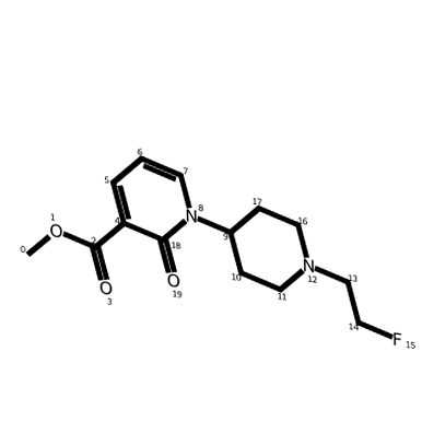 COC(=O)c1cccn(C2CCN(CCF)CC2)c1=O